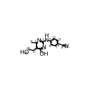 Cc1nc(Nc2ccc(C#N)cc2)nc(O)c1CCO